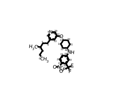 CCCC(C)CCc1cncc(O[C@H]2CC[C@H](Nc3ccc([N+](=O)[O-])c(C(F)(F)F)c3)CC2)c1